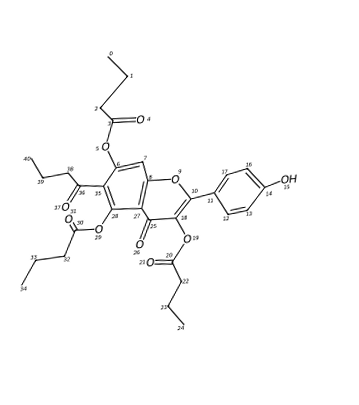 CCCC(=O)Oc1cc2oc(-c3ccc(O)cc3)c(OC(=O)CCC)c(=O)c2c(OC(=O)CCC)c1C(=O)CCC